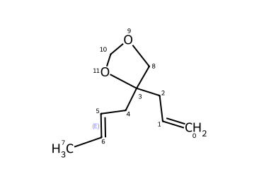 C=CCC1(C/C=C/C)COCO1